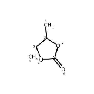 C.CC1COC(=O)O1